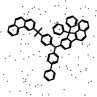 CC(C)(c1ccc(N(c2ccc(-c3ccccc3)cc2)c2ccc3c(c2)C(c2ccccc2)(c2ccccc2)c2c-3ccc3ccccc23)cc1)c1ccc2ccc3ccccc3c2c1